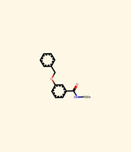 CNNC(=O)c1cccc(OCc2ccccc2)c1